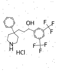 Cl.O[C@@H](CCC1(c2ccccc2)CCNCC1)c1cc(C(F)(F)F)cc(C(F)(F)F)c1